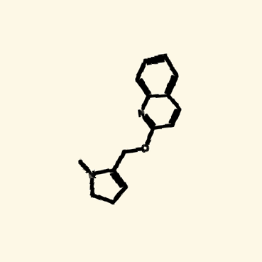 CN1CCC=C1COc1ccc2ccccc2n1